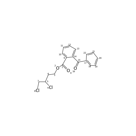 O=C(OCCC(Cl)CCl)c1ccccc1C(=O)c1ccccc1